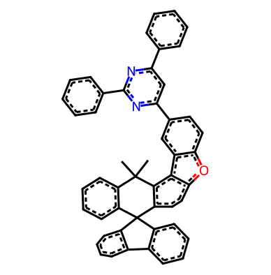 CC1(C)c2ccccc2C2(c3ccccc3-c3ccccc32)c2ccc3oc4ccc(-c5cc(-c6ccccc6)nc(-c6ccccc6)n5)cc4c3c21